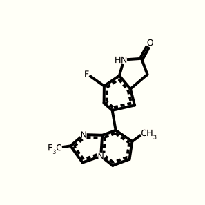 Cc1ccn2cc(C(F)(F)F)nc2c1-c1cc(F)c2c(c1)CC(=O)N2